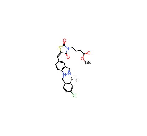 CC(C)(C)OC(=O)CCCN1C(=O)SC(=Cc2ccc3c(cnn3Cc3ccc(Cl)cc3C(F)(F)F)c2)C1=O